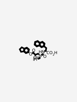 CC(C)CN(CC(O)C(=O)Oc1ccc2c(c1)CCC2)C(=O)N[C@@H](Cc1ccc2ccccc2c1)C(=O)O